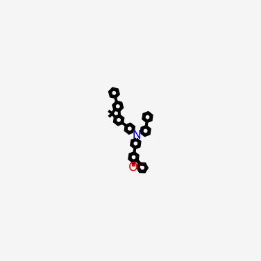 CC1(C)c2ccc(-c3ccc(N(c4ccc(-c5ccc6oc7ccccc7c6c5)cc4)c4cccc(-c5ccccc5)c4)cc3)cc2-c2ccc(-c3ccccc3)cc21